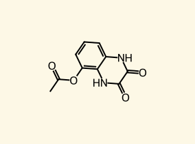 CC(=O)Oc1cccc2[nH]c(=O)c(=O)[nH]c12